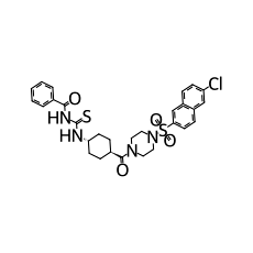 O=C(NC(=S)N[C@H]1CC[C@H](C(=O)N2CCN(S(=O)(=O)c3ccc4cc(Cl)ccc4c3)CC2)CC1)c1ccccc1